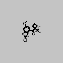 COc1cc(C(=O)C2(C(F)(F)F)CCC2)c2nc(Cl)sc2c1